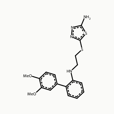 COc1ccc(-c2ccccc2NCCSc2nnc(N)s2)cc1OC